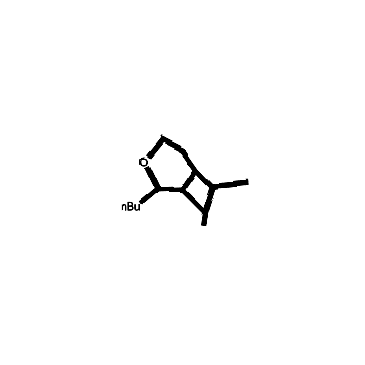 CCCCC1OCCC2C(C)C(C)C12